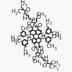 C=C(C)C(=O)NCCNC(=O)C(CCOC)N1C(=O)c2cc(Oc3cc(C)cc(C)c3)c3c4c(Oc5cc(C)cc(C)c5)cc5c6c(cc(Oc7cc(C)cc(C)c7)c(c7c(Oc8cc(C)cc(C)c8)cc(c2c37)C1=O)c64)C(=O)N(C(CCOC)C(=O)NCCNC(=O)C(=C)C)C5=O